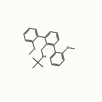 COc1ccccc1-c1cccc(-c2ccccc2OC)c1CPC(C)(C)C